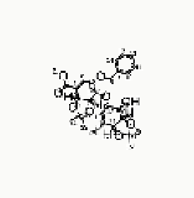 COC(=O)C1=C[C@H](OCc2ccccc2)[C@@H](O[C@H]2C=C(I)[C@H]3OC(C)(C)O[C@H]3[C@@H]2O)[C@@H]2OC(C)(C)O[C@H]12